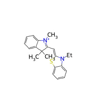 CCN1/C(=C/C2=[N+](C)c3ccccc3C2(C)C)Sc2ccccc21